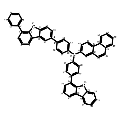 c1ccc(-c2cccc3c2oc2ccc(-c4ccc(N(c5ccc(-c6cccc7c6oc6ccccc67)cc5)c5ccc6c(ccc7ccccc76)c5)cc4)cc23)cc1